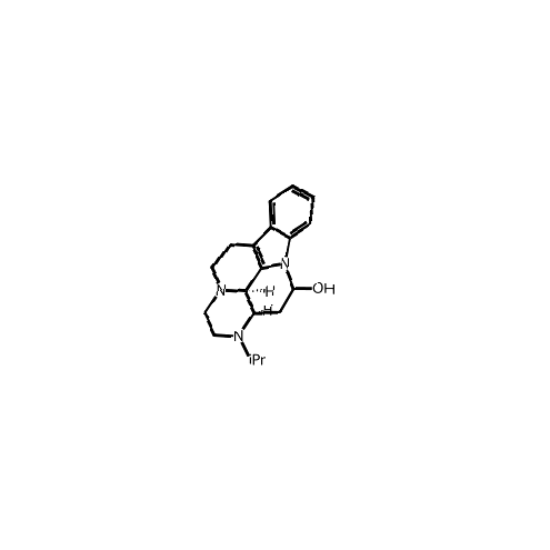 CC(C)N1CCN2CCc3c4n(c5ccccc35)C(O)C[C@@H]1[C@H]42